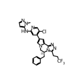 Cn1nccc1Nc1cc(-c2cc3n(c2)C[C@H](Cc2ccccc2)n2c(CCC(F)(F)F)nnc2-3)c(Cl)cn1